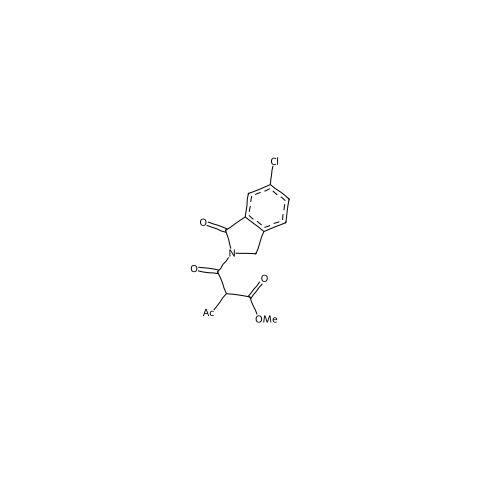 COC(=O)C(C(C)=O)C(=O)N1Cc2ccc(Cl)cc2C1=O